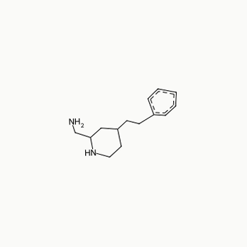 NCC1CC(CCc2ccccc2)CCN1